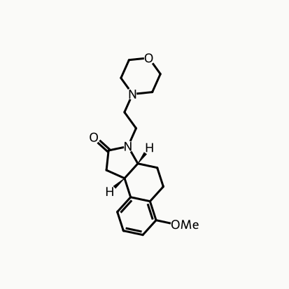 COc1cccc2c1CC[C@@H]1[C@H]2CC(=O)N1CCN1CCOCC1